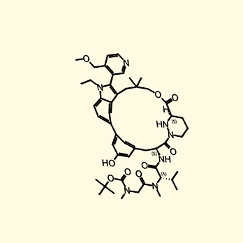 CCn1c(-c2cnccc2COC)c2c3cc(ccc31)-c1cc(O)cc(c1)C[C@H](NC(=O)[C@H](C(C)C)N(C)C(=O)CN(C)C(=O)OC(C)(C)C)C(=O)N1CCC[C@H](N1)C(=O)OCC(C)(C)C2